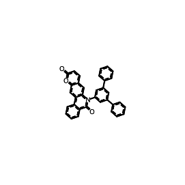 O=c1ccc2cc3c(cc2o1)c1ccccc1c(=O)n3-c1cc(-c2ccccc2)cc(-c2ccccc2)c1